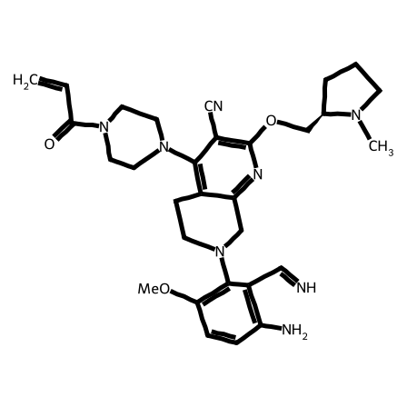 C=CC(=O)N1CCN(c2c(C#N)c(OC[C@H]3CCCN3C)nc3c2CCN(c2c(OC)ccc(N)c2C=N)C3)CC1